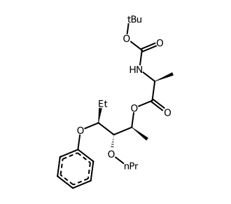 CCCO[C@@H]([C@H](C)OC(=O)[C@H](C)NC(=O)OC(C)(C)C)[C@H](CC)Oc1ccccc1